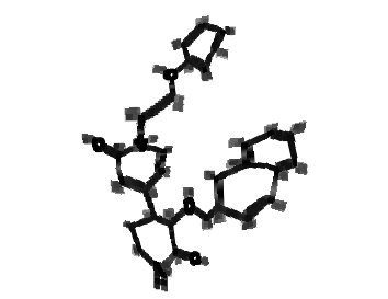 O=C1NCCC(c2ccn(CCOc3ccccc3)c(=O)c2)C1OCc1ccc2ccccc2c1